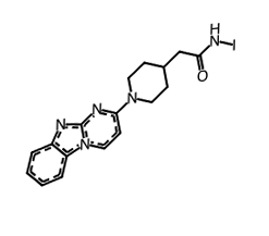 O=C(CC1CCN(c2ccn3c(n2)nc2ccccc23)CC1)NI